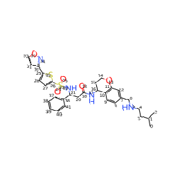 CC(C)CCNCc1ccc2c(c1)OCCC2NC(=O)CC(NS(=O)(=O)c1ccc(-c2ccon2)s1)c1ccccc1